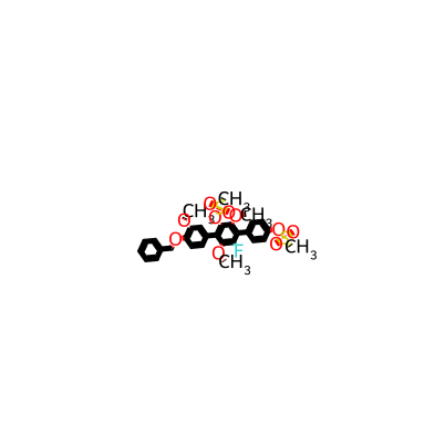 COc1cc(-c2c(OC)c(F)c(-c3ccc(OS(C)(=O)=O)cc3)c(OC)c2OS(C)(=O)=O)ccc1OCc1ccccc1